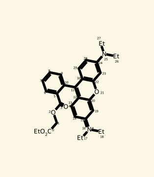 CCOC(=O)COC(=O)c1ccccc1-c1c2ccc(=[N+](CC)CC)cc-2oc2cc(N(CC)CC)ccc12